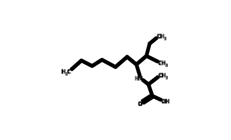 CCCCCCC(NC(C)C(=O)O)C(C)CC